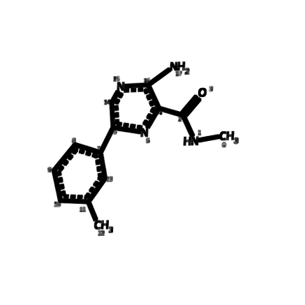 CNC(=O)c1nc(-c2cccc(C)c2)cnc1N